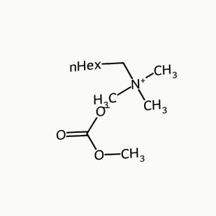 CCCCCCC[N+](C)(C)C.COC(=O)[O-]